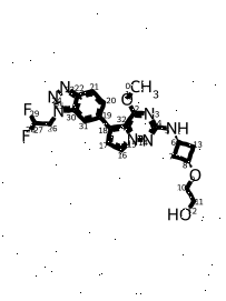 COc1nc(N[C@H]2C[C@@H](OCCO)C2)nn2ccc(-c3ccc4nnn(CC(F)F)c4c3)c12